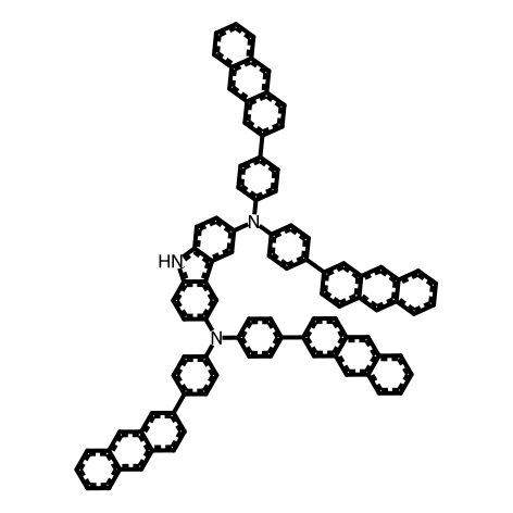 c1ccc2cc3cc(-c4ccc(N(c5ccc(-c6ccc7cc8ccccc8cc7c6)cc5)c5ccc6[nH]c7ccc(N(c8ccc(-c9ccc%10cc%11ccccc%11cc%10c9)cc8)c8ccc(-c9ccc%10cc%11ccccc%11cc%10c9)cc8)cc7c6c5)cc4)ccc3cc2c1